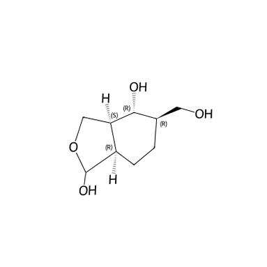 OC[C@H]1CC[C@H]2C(O)OC[C@H]2[C@@H]1O